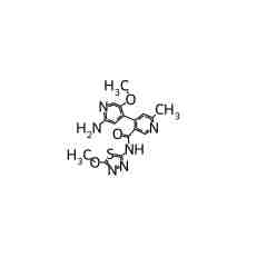 COc1nnc(NC(=O)c2cnc(C)cc2-c2cc(N)ncc2OC)s1